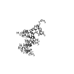 C=CCNC(=O)C(=O)C(CC)NC(=O)[C@@H]1[C@@H]2[C@H](CN1C(=O)[C@@H](NC(=O)N[C@H](CN(C)S(=O)(=O)CC)C(C)(C)C)C(C)(C)C)C2(C)C